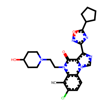 N#Cc1c(Cl)ccc2c1n(CCN1CCC(O)CC1)c(=O)c1c(-c3noc(C4CCCC4)n3)ncn12